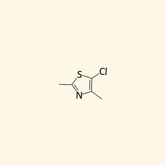 Cc1nc(C)c(Cl)s1